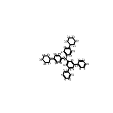 c1ccc(-c2cc(-c3ccccc3)cc(N(c3ccc(C4CCCCC4)cc3)c3ccc(C4CCCCC4)cc3)c2)cc1